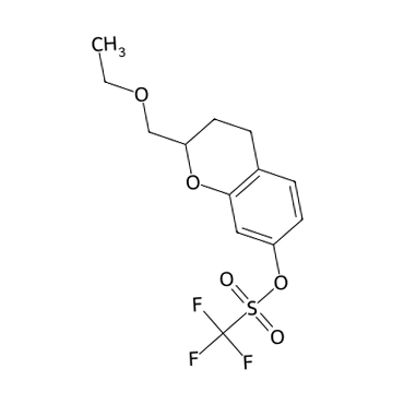 CCOCC1CCc2ccc(OS(=O)(=O)C(F)(F)F)cc2O1